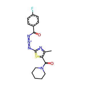 Cc1nc(N=[N+]=NC(=O)c2ccc(F)cc2)sc1C(=O)N1CCCCC1